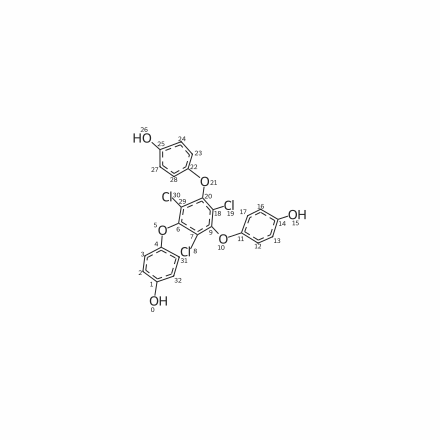 Oc1ccc(Oc2c(Cl)c(Oc3ccc(O)cc3)c(Cl)c(Oc3ccc(O)cc3)c2Cl)cc1